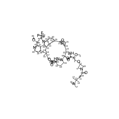 CO[C@@H](COC1CN(C(=O)C#CC(C)(C)N(C)C)C1)C(=O)N[C@H]1Cc2coc(n2)-c2ccc3c(c2)c(c(-c2cccnc2[C@H](C)OC)n3CC(F)(F)F)CC(C)(C)COC(=O)[C@@]2(O)CCCN(N2)C1=O